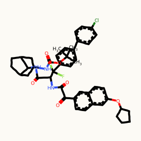 CC(C)(C)OC(=O)NC1CC2CCC(C1)C2NC(=O)C(NC(=O)C(=O)c1ccc2cc(OC3CCCC3)ccc2c1)C(F)(F)c1ccc(-c2ccc(Cl)cc2)cc1